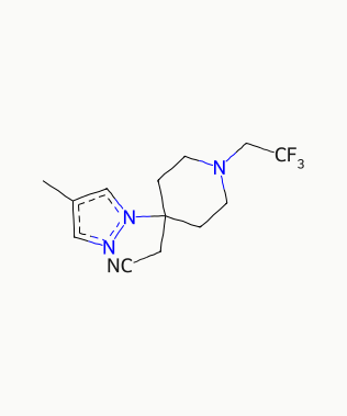 Cc1cnn(C2(CC#N)CCN(CC(F)(F)F)CC2)c1